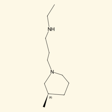 CCNCCCN1CCC[C@@H](C)C1